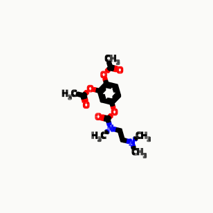 CC(=O)Oc1ccc(OC(=O)N(C)CCN(C)C)cc1OC(C)=O